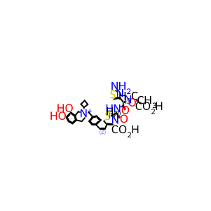 CC(C)(O/N=C(\C(=O)N[C@@H]1C(=O)N2C(C(=O)O)=C(/C=C\c3ccc(C[N+]4(C5CCC5)CCc5ccc(O)c(O)c5C4)cc3)CS[C@H]12)c1csc(N)n1)C(=O)O